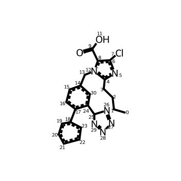 CCCCc1nc(Cl)c(C(=O)O)n1Cc1ccc(-c2ccccc2)c(C2N=NN=N2)c1